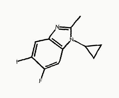 Cc1nc2cc(I)c(F)cc2n1C1CC1